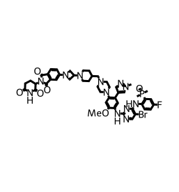 COc1cc(N2CCN(CC3CCN(C4CN(c5ccc6c(c5)C(=O)N(C5CCC(=O)NC5=O)C6=O)C4)CC3)CC2)c(-c2cnn(C)c2)cc1Nc1ncc(Br)c(Nc2ccc(F)cc2P(C)(C)=O)n1